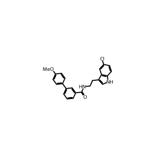 COc1ccc(-c2cccc(C(=O)NCCc3c[nH]c4ccc(Cl)cc34)c2)cc1